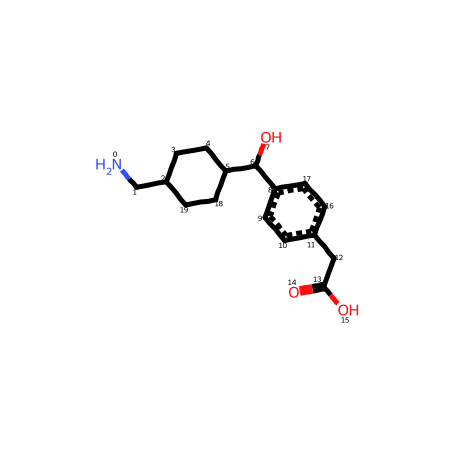 NCC1CCC(C(O)c2ccc(CC(=O)O)cc2)CC1